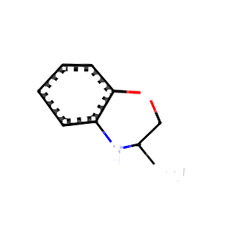 CCOC(=O)C1COc2ccccc2N1